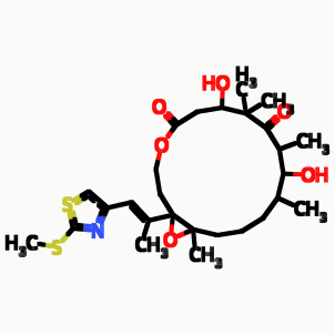 CSc1nc(C=C(C)C23CCOC(=O)CC(O)C(C)(C)C(=O)C(C)C(O)C(C)CCCC2(C)O3)cs1